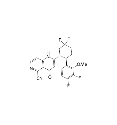 COc1c([C@@H]2CCC(F)(F)C[C@H]2c2cc(=O)c3c(C#N)nccc3[nH]2)ccc(F)c1F